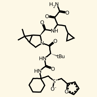 CC1(C)C2CN(C(=O)[C@@H](NC(=O)NC3(C[S+]([O-])Cc4ccco4)CCCCC3)C(C)(C)C)[C@H](C(=O)NC(CC3CC3)C(=O)C(N)=O)C21